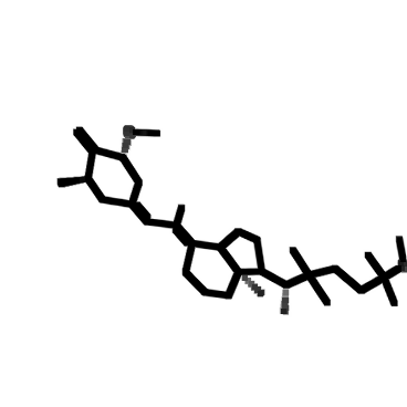 C=C1[C@H](C)C/C(=C/C(C)=C2\CCC[C@@]3(C)C2CCC3[C@@H](C)C(C)(C)CCC(C)(C)OC)C[C@H]1OC